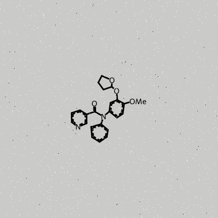 COc1ccc(N(C(=O)c2cccnc2)c2ccccc2)cc1OC1CCCO1